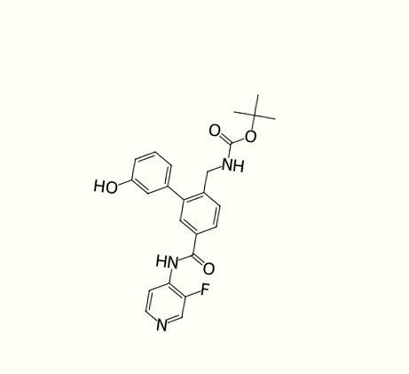 CC(C)(C)OC(=O)NCc1ccc(C(=O)Nc2ccncc2F)cc1-c1cccc(O)c1